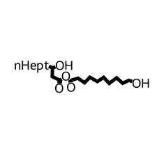 CCCCCCCC(O)CC(=O)OC(=O)CCCCCCCCCO